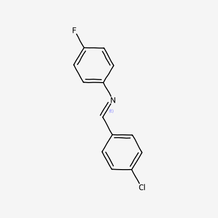 Fc1ccc(/N=C/c2ccc(Cl)cc2)cc1